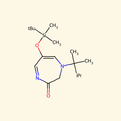 CC(C)C(C)(C)N1C=C(O[Si](C)(C)C(C)(C)C)C=NC(=O)C1